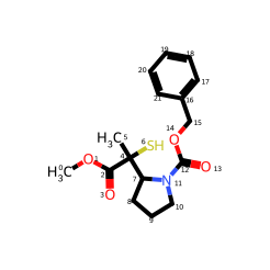 COC(=O)C(C)(S)C1CCCN1C(=O)OCc1ccccc1